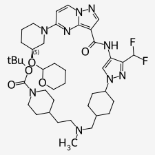 CN(CCC1CCN(C(=O)OC(C)(C)C)CC1)CC1CCC(n2cc(NC(=O)c3cnn4ccc(N5CCC[C@H](OC6CCCCO6)C5)nc34)c(C(F)F)n2)CC1